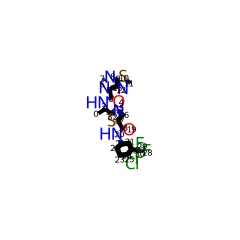 CC(NC(=O)c1ncnc2scnc12)c1ncc(C(=O)Nc2ccc(Cl)c(C(F)(F)F)c2)s1